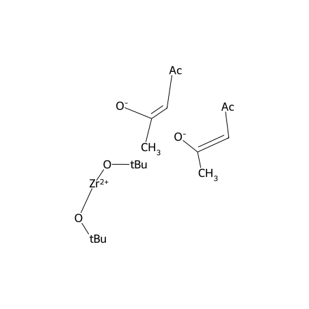 CC(=O)/C=C(/C)[O-].CC(=O)/C=C(/C)[O-].CC(C)(C)[O][Zr+2][O]C(C)(C)C